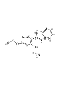 C#CCOc1ccc(-c2nc3ncccc3[nH]2)c(OCC#N)c1